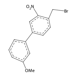 COc1cccc(-c2ccc(CBr)c([N+](=O)[O-])c2)c1